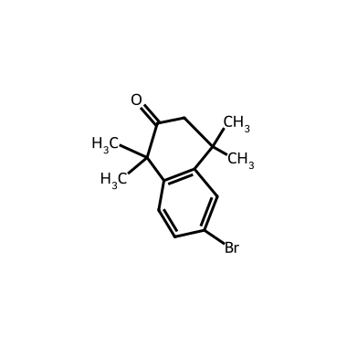 CC1(C)CC(=O)C(C)(C)c2ccc(Br)cc21